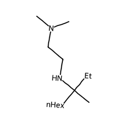 CCCCCCC(C)(CC)NCCN(C)C